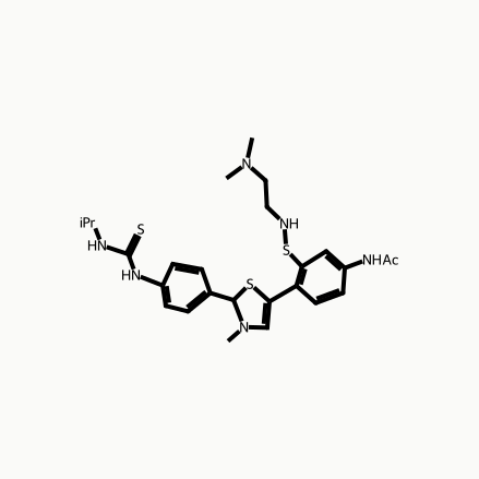 CC(=O)Nc1ccc(C2=CN(C)C(c3ccc(NC(=S)NC(C)C)cc3)S2)c(SNCCN(C)C)c1